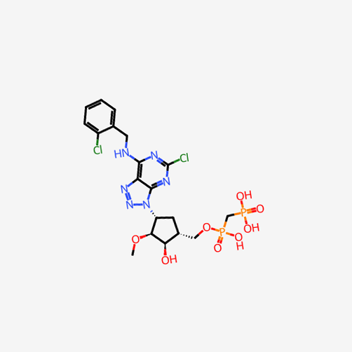 CO[C@@H]1[C@H](O)[C@@H](COP(=O)(O)CP(=O)(O)O)C[C@H]1n1nnc2c(NCc3ccccc3Cl)nc(Cl)nc21